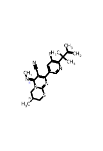 C=C(C)C(C)(C)c1ncc(-c2nc3n(/c(=N/C)c2C#N)C[C@H](C)CS3)cc1F